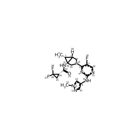 C[C@@H]1[C@@H]2CN(c3nc(Nc4cnn(C)c4)ncc3F)C[C@@]12NC(=O)[C@@H]1CC1(F)F